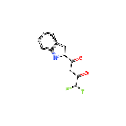 O=C(CC(=O)C(F)F)c1cc2ccccc2[nH]1